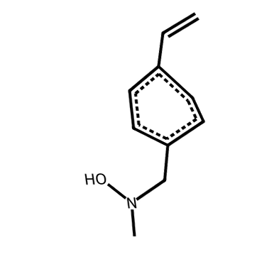 C=Cc1ccc(CN(C)O)cc1